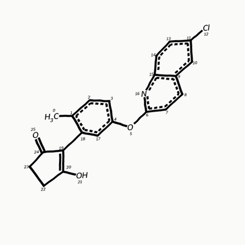 Cc1ccc(Oc2ccc3cc(Cl)ccc3n2)cc1C1=C(O)CCC1=O